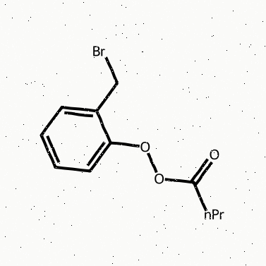 CCCC(=O)OOc1ccccc1CBr